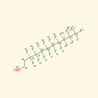 CC(F)(C(F)(F)F)C(F)(F)C(F)(F)C(F)(F)C(F)(F)C(F)(F)C(F)(F)C(F)(F)C(F)(F)CCO